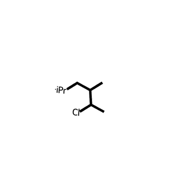 C[C](C)CC(C)C(C)Cl